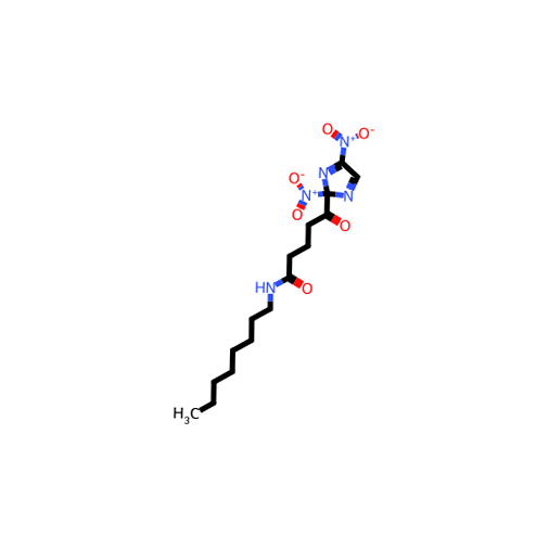 CCCCCCCCNC(=O)CCCC(=O)C1([N+](=O)[O-])N=CC([N+](=O)[O-])=N1